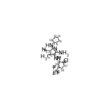 Cc1c(C#N)c(Nc2ccccc2)nc(N)c1/N=N/c1cc(C(F)(F)F)ccc1Cl